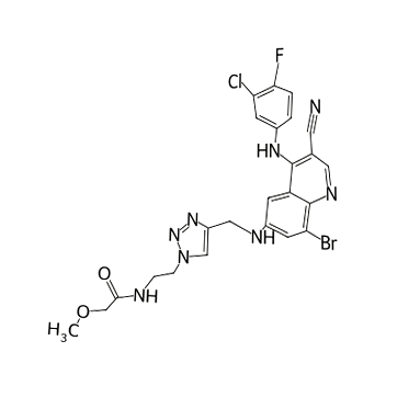 COCC(=O)NCCn1cc(CNc2cc(Br)c3ncc(C#N)c(Nc4ccc(F)c(Cl)c4)c3c2)nn1